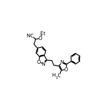 CCOC(C#N)Cc1ccc2c(CCc3nc(-c4ccccc4)oc3C)noc2c1